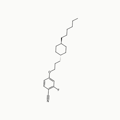 CCCCCC[C@H]1CC[C@H](CCCOc2ccc(C#N)c(F)c2)CC1